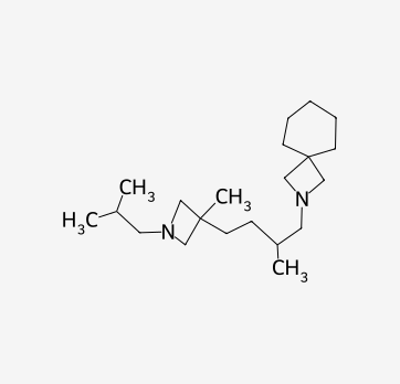 CC(C)CN1CC(C)(CCC(C)CN2CC3(CCCCC3)C2)C1